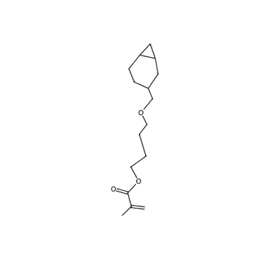 C=C(C)C(=O)OCCCCOCC1CCC2CC2C1